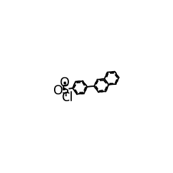 O=S(=O)(Cl)c1ccc(-c2ccc3ccccc3c2)cc1